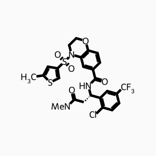 CNC(=O)C[C@H](NC(=O)c1ccc2c(c1)N(S(=O)(=O)c1csc(C)c1)CCO2)c1cc(C(F)(F)F)ccc1Cl